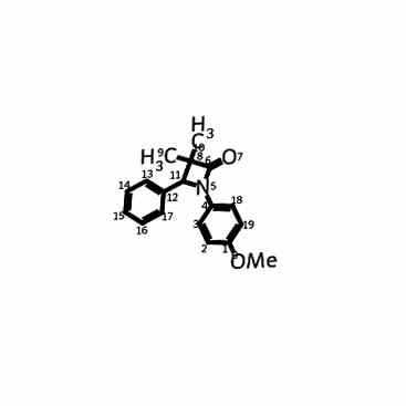 COc1ccc(N2C(=O)C(C)(C)C2c2ccccc2)cc1